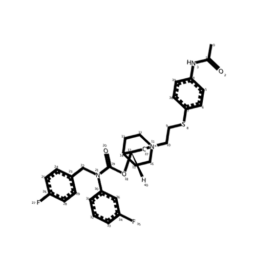 CC(=O)Nc1ccc(SCC[N+]23CCC(CC2)[C@@H](OC(=O)N(Cc2ccc(F)cc2)c2cccc(F)c2)C3)cc1